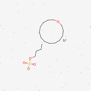 C1CCCCCCOCCCCCC1.CCCCOS(=O)(=O)[O-].[Li+]